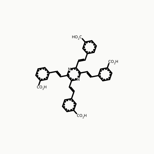 O=C(O)c1cccc(C=Cc2nc(C=Cc3cccc(C(=O)O)c3)c(C=Cc3cccc(C(=O)O)c3)nc2C=Cc2cccc(C(=O)O)c2)c1